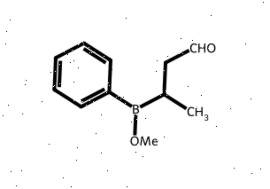 COB(c1ccccc1)C(C)CC=O